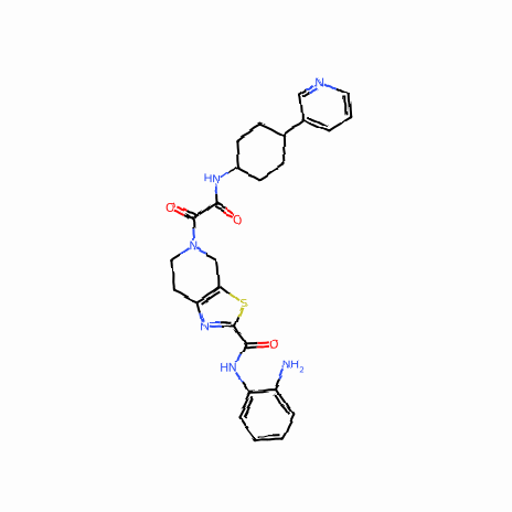 Nc1ccccc1NC(=O)c1nc2c(s1)CN(C(=O)C(=O)NC1CCC(c3cccnc3)CC1)CC2